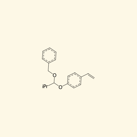 C=Cc1ccc(OC(OCc2ccccc2)C(C)C)cc1